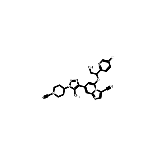 Cc1c(-c2cc(OC(CO)c3ccc(Cl)cn3)n3c(C#N)cnc3c2)nnn1C1CCN(C#N)CC1